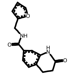 O=C1CCc2ccc(C(=O)NCc3ccco3)cc2N1